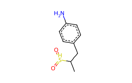 CC(Cc1ccc(N)cc1)[SH](=O)=O